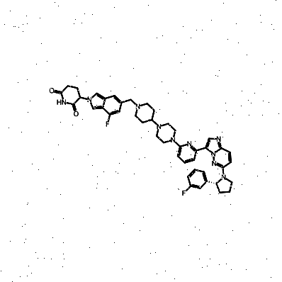 O=C1CCC(n2cc3cc(CN4CCC(N5CCN(c6cccc(-c7cnc8ccc(N9CCC[C@@H]9c9cccc(F)c9)nn78)n6)CC5)CC4)cc(F)c3c2)C(=O)N1